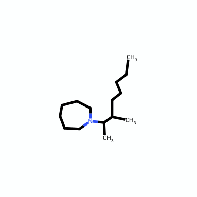 CCCCCC(C)C(C)N1CCCCCC1